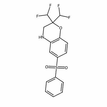 O=S(=O)(c1ccccc1)c1ccc2c(c1)NCC(C(F)F)(C(F)F)O2